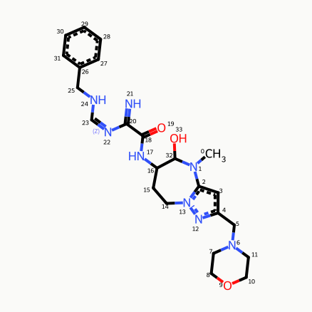 CN1c2cc(CN3CCOCC3)nn2CCC(NC(=O)C(=N)/N=C\NCc2ccccc2)C1O